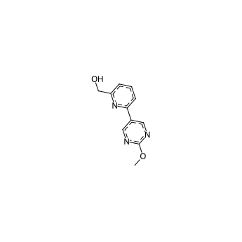 COc1ncc(-c2cccc(CO)n2)cn1